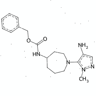 Cn1ncc(N)c1N1CCCC(NC(=O)OCc2ccccc2)CC1